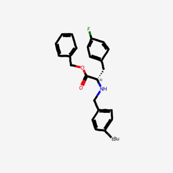 CC(C)(C)c1ccc(CN[C@@H](Cc2ccc(F)cc2)C(=O)OCc2ccccc2)cc1